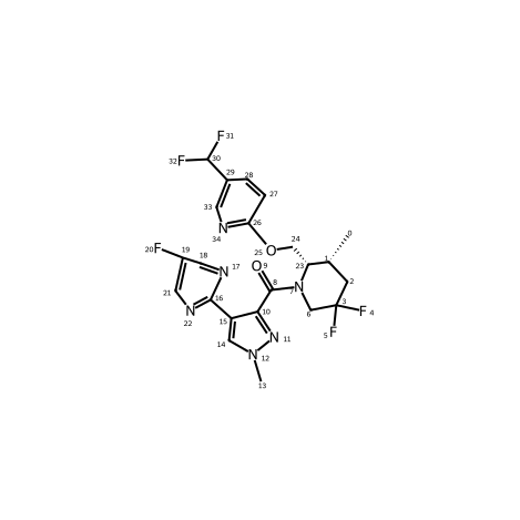 C[C@@H]1CC(F)(F)CN(C(=O)c2nn(C)cc2-c2ncc(F)cn2)[C@@H]1COc1ccc(C(F)F)cn1